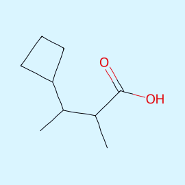 CC(C(=O)O)C(C)C1CCC1